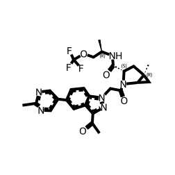 CC(=O)c1nn(CC(=O)N2C3C[C@]3(C)C[C@H]2C(=O)N[C@H](C)COC(F)(F)F)c2ccc(-c3cnc(C)nc3)cc12